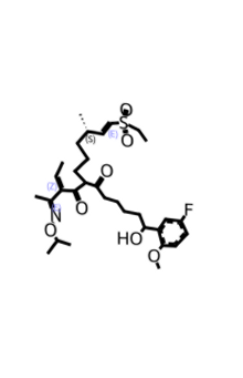 C/C=C(C(=O)C(CCC[C@H](C)/C=C/S(=O)(=O)CC)C(=O)CCCCC(O)c1cc(F)ccc1OC)/C(C)=N/OC(C)C